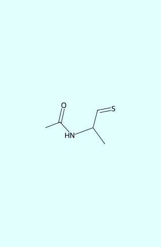 CC(=O)NC(C)C=S